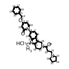 Cl.Cn1c2c(c3ccc(-n4ccc(OCc5ccccc5)cc4=O)cc31)CN(C(=O)CCN1CCCC1)CC2